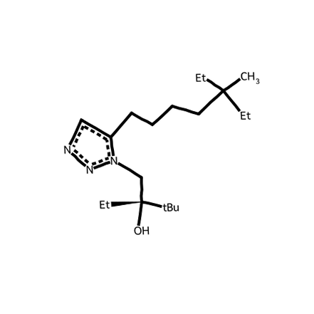 CCC(C)(CC)CCCCc1cnnn1C[C@](O)(CC)C(C)(C)C